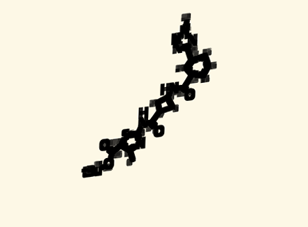 Cc1nc(NC(=O)C2CC(NC(=O)c3cccc(-c4nnn(C)n4)c3)C2)sc1C(=O)OC(C)(C)C